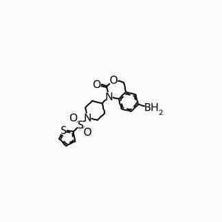 Bc1ccc2c(c1)COC(=O)N2C1CCN(S(=O)(=O)c2cccs2)CC1